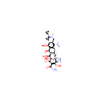 B=C1C(C(N)=O)=C(O)[C@@H](N(C)C)[C@@H]2C[C@@H]3Cc4c(c(O)cc(CN(C)C5(C6CC6)CC5)c4N(C)C)C(=O)C3=C(O)[C@]12O